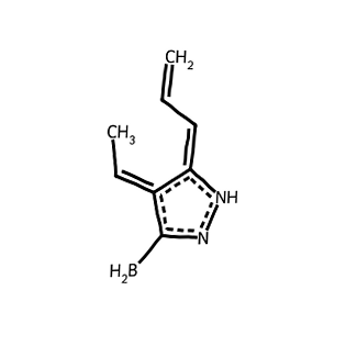 Bc1n[nH]c(=C/C=C)/c1=C\C